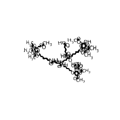 CC(=O)OCC[C@H]1OC(OCCCCCCNC(=O)CCC(NC(=O)CCC(NC(=O)CCCC(=O)O)C(=O)NCCCCCCO[C@H]2O[C@H](COC(C)=O)[C@@H](O)[C@H](OC(C)=O)[C@@H]2OC(C)=O)C(=O)NCCCCCCO[C@@H]2C[C@H](OC(C)=O)[C@@H](OC(C)=O)[C@@H](COC(C)=O)[C@H]2COC(C)=O)[C@@H](OC(C)=O)[C@@H](OC(C)=O)[C@@H]1OC(C)=O